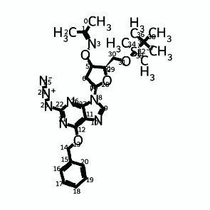 CC(C)=NOC1C[C@H](n2cnc3c(OCc4ccccc4)nc(N=[N+]=[N-])nc32)O[C@@H]1CO[Si](C)(C)C(C)(C)C